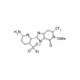 CCS(=O)(=O)c1ccc(N)nc1-c1nc2cc(C(F)(F)F)n(OC)c(=O)c2n1C